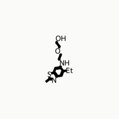 CCc1cc2nc(C)sc2cc1NCCOCCO